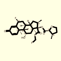 C[C@@H]1CCO[C@@H]1C(=O)O[C@]1(C(=O)SCF)[C@H](C)C[C@H]2[C@@H]3C[C@H](F)C4=CC(=O)C=C[C@]4(C)[C@@]3(F)[C@@H](O)C[C@@]21C